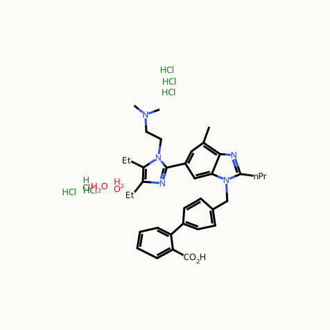 CCCc1nc2c(C)cc(-c3nc(CC)c(CC)n3CCN(C)C)cc2n1Cc1ccc(-c2ccccc2C(=O)O)cc1.Cl.Cl.Cl.Cl.Cl.Cl.O.O